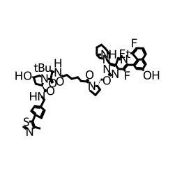 CCc1c(F)ccc2cc(O)cc(-c3ncc4c(N5CC6CCC(C5)N6)nc(OC[C@@H]5CCCN5C(=O)CCCCC(=O)NC(C(=O)N5C[C@H](O)C[C@@H]5C(=O)NCc5ccc(-c6scnc6C)cc5)C(C)(C)C)nc4c3F)c12